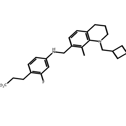 Cc1c(CNc2ccc(CCC(=O)O)c(F)c2)ccc2c1N(CC1CCC1)CCC2